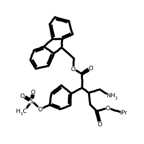 CC(C)OC(=O)CC(CN)C(C(=O)OCC1c2ccccc2-c2ccccc21)c1ccc(OS(C)(=O)=O)cc1